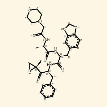 C[C@H](NC(=O)CN1CCOCC1)C(=O)N[C@@H](Cc1ccc2c(c1)OCO2)C(=O)N[C@@H](Cc1ccccc1)C(=O)[C@@]1(C)CO1